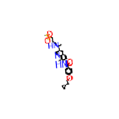 Cc1c(NC(=O)c2ccc(OCCC3CC3)cc2)ccc2cc(C(C)NCCCS(C)(=O)=O)cnc12